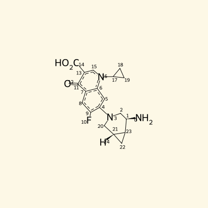 N[C@@H]1CN(c2cc3c(cc2F)c(=O)c(C(=O)O)cn3C2CC2)C[C@H]2CC21